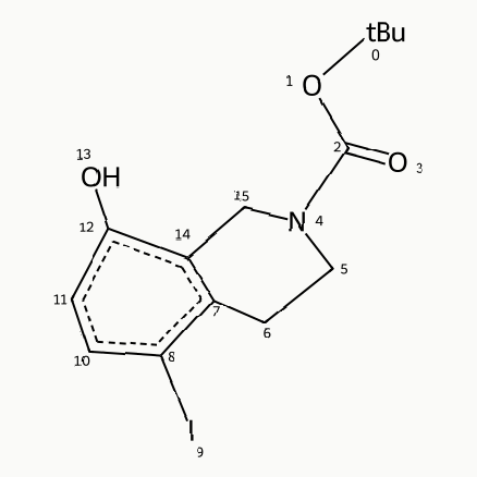 CC(C)(C)OC(=O)N1CCc2c(I)ccc(O)c2C1